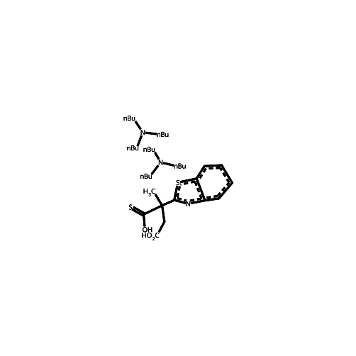 CC(CC(=O)O)(C(O)=S)c1nc2ccccc2s1.CCCCN(CCCC)CCCC.CCCCN(CCCC)CCCC